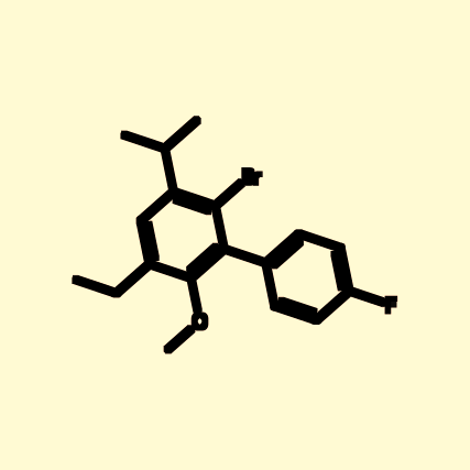 CCc1cc(C(C)C)c(Br)c(-c2ccc(F)cc2)c1OC